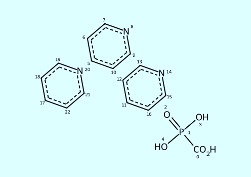 O=C(O)P(=O)(O)O.c1ccncc1.c1ccncc1.c1ccncc1